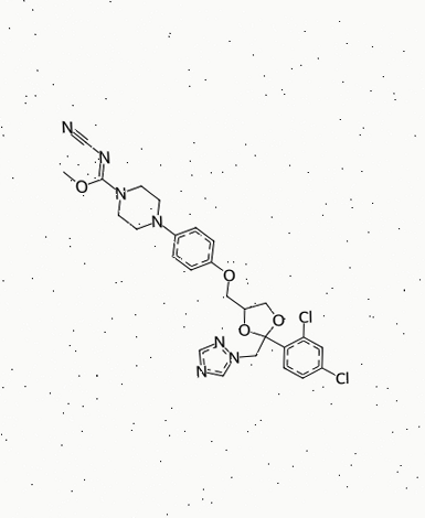 COC(=NC#N)N1CCN(c2ccc(OCC3COC(Cn4cncn4)(c4ccc(Cl)cc4Cl)O3)cc2)CC1